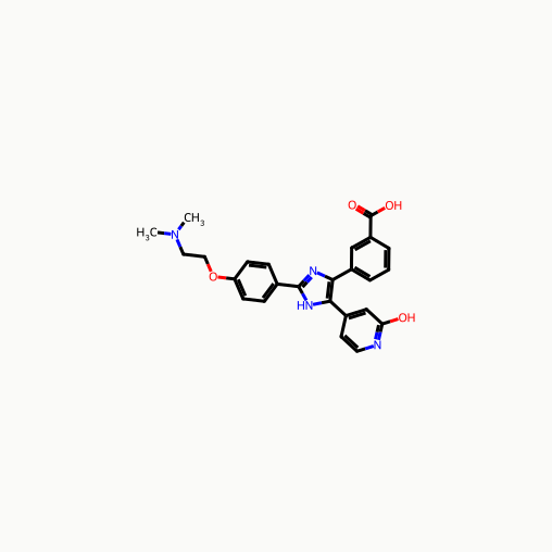 CN(C)CCOc1ccc(-c2nc(-c3cccc(C(=O)O)c3)c(-c3ccnc(O)c3)[nH]2)cc1